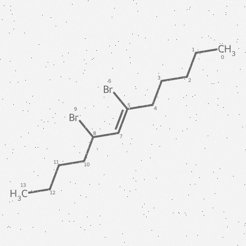 CCCCC/C(Br)=C/C(Br)CCCC